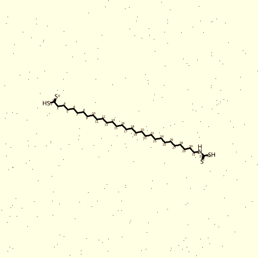 S=C(S)CCCCCCCCCCCCCCCCCCCCCCCCCCCCCNC(=S)S